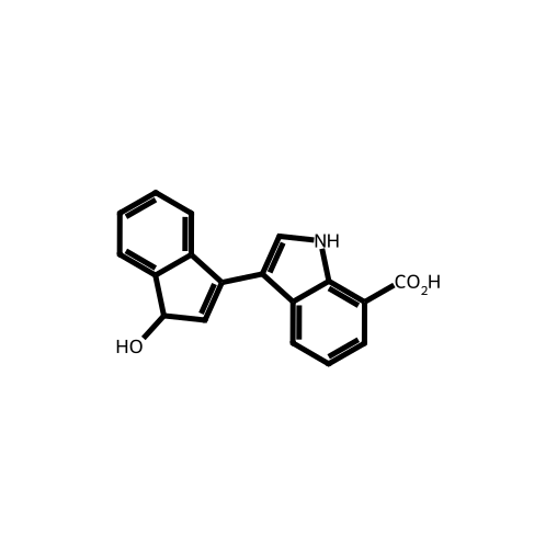 O=C(O)c1cccc2c(C3=CC(O)c4ccccc43)c[nH]c12